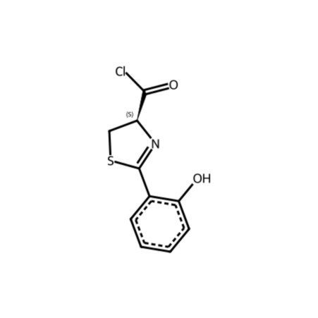 O=C(Cl)[C@@H]1CSC(c2ccccc2O)=N1